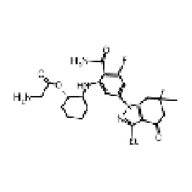 CCc1nn(-c2cc(F)c(C(N)=O)c(N[C@H]3CCCC[C@@H]3OC(=O)CN)c2)c2c1C(=O)CC(C)(C)C2